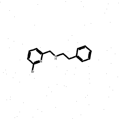 Brc1cccc(CNCCc2ccccc2)n1